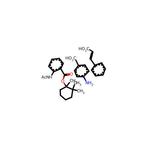 CC(=O)Nc1ccccc1C(=O)OC1(C)CCCCC1(C)C.Nc1ccc(C(=O)O)cc1.O=C(O)C=Cc1ccccc1